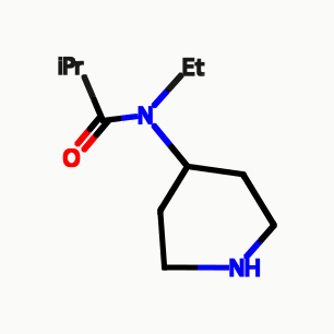 CCN(C(=O)C(C)C)C1CCNCC1